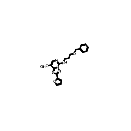 O=Cc1cnc(NCCCOCc2ccccc2)n2nc(-c3ccco3)nc12